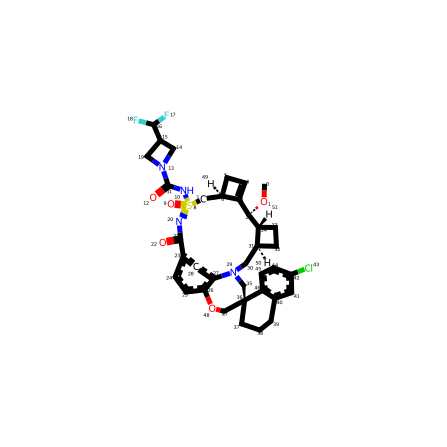 CO[C@H]1C2=CC[C@@H]2CS(=O)(NC(=O)N2CC(C(F)F)C2)=NC(=O)c2ccc3c(c2)N(C[C@@H]2CC[C@H]21)C[C@@]1(CCCc2cc(Cl)ccc21)CO3